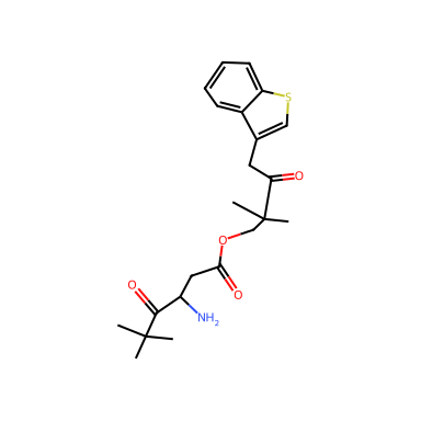 CC(C)(C)C(=O)C(N)CC(=O)OCC(C)(C)C(=O)Cc1csc2ccccc12